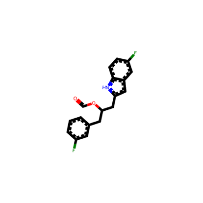 O=COC(Cc1cccc(F)c1)Cc1cc2cc(F)ccc2[nH]1